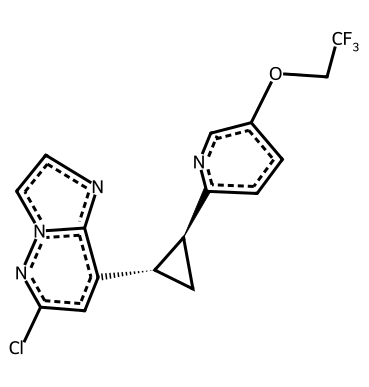 FC(F)(F)COc1ccc([C@H]2C[C@@H]2c2cc(Cl)nn3ccnc23)nc1